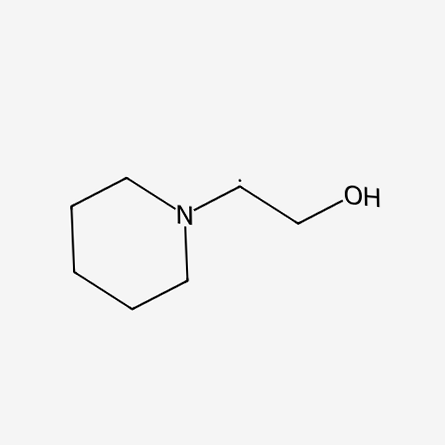 OC[CH]N1CCCCC1